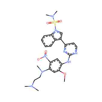 COc1cc(N(C)CCN(C)C)c([N+](=O)[O-])cc1Nc1nccc(-c2cn(S(=O)(=O)N(C)C)c3ccccc23)n1